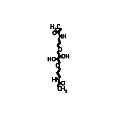 C=CC(=O)NCCCOCC(O)[C@H](O)COCCCNC(=O)C=C